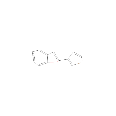 [c]1sccc1-c1cc2ccccc2o1